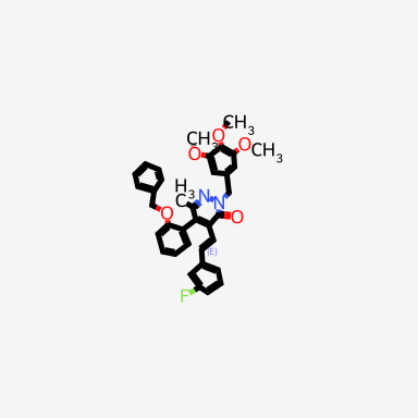 COc1cc(Cn2nc(C)c(-c3ccccc3OCc3ccccc3)c(/C=C/c3cccc(F)c3)c2=O)cc(OC)c1OC